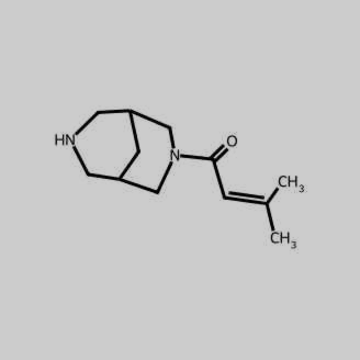 CC(C)=CC(=O)N1CC2CNCC(C2)C1